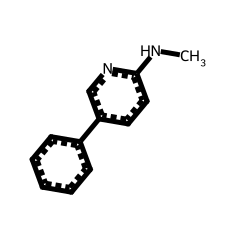 CNc1ccc(-c2ccccc2)cn1